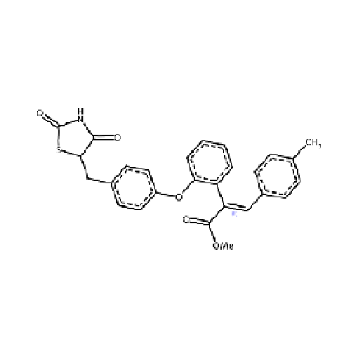 COC(=O)/C(=C/c1ccc(C)cc1)c1ccccc1Oc1ccc(CC2SC(=O)NC2=O)cc1